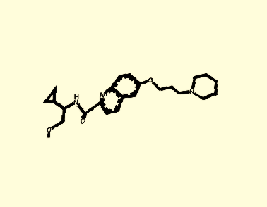 COCC(NC(=O)c1ccc2cc(OCCCN3CCCCC3)ccc2n1)C1CC1